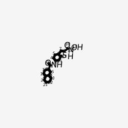 O=C(Nc1ccc2cc(C(=O)NO)sc2c1)c1ccc2ccccc2c1